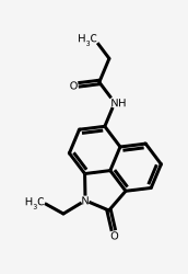 CCC(=O)Nc1ccc2c3c(cccc13)C(=O)N2CC